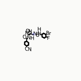 N#Cc1ccc(C(=O)Nc2nonc2/C=N/ONc2ccc(F)c(Br)c2)cc1